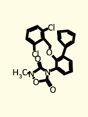 Cn1oc(=O)n(-c2cccc(-c3ccccc3)c2OCc2c(Cl)cccc2Cl)c1=O